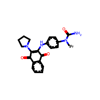 CC(C)N(C(N)=O)c1ccc(NC2=C(N3CCCC3)C(=O)c3ccccc3C2=O)cc1